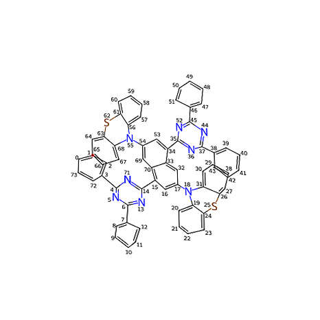 c1ccc(-c2nc(-c3ccccc3)nc(-c3cc(N4c5ccccc5Sc5ccccc54)cc4c(-c5nc(-c6ccccc6)nc(-c6ccccc6)n5)cc(N5c6ccccc6Sc6ccccc65)cc34)n2)cc1